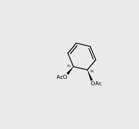 CC(=O)O[C@H]1C=CC=C[C@H]1OC(C)=O